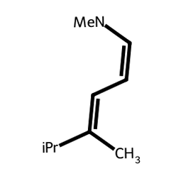 CN/C=C\C=C(/C)C(C)C